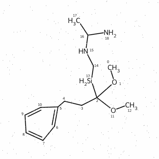 COC(CCc1ccccc1)(OC)[SiH2]CNC(C)N